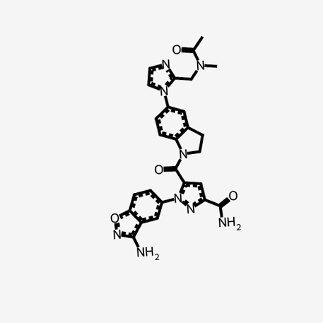 CC(=O)N(C)Cc1nccn1-c1ccc2c(c1)CCN2C(=O)c1cc(C(N)=O)nn1-c1ccc2onc(N)c2c1